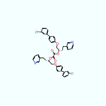 O=C(O[C@@H](CCc1cccnc1)COc1ccc(-c2cccc(Cl)c2)cc1)C(=O)O[C@@H](CCc1cccnc1)COc1ccc(-c2cccc(Cl)c2)cc1